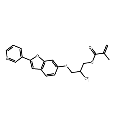 C=C(C)C(=O)OCC(CSc1ccc2cc(-c3cccnc3)oc2c1)C(F)(F)F